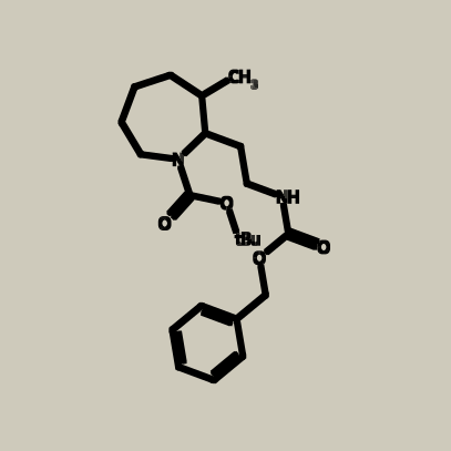 CC1CCCCN(C(=O)OC(C)(C)C)C1CCNC(=O)OCc1ccccc1